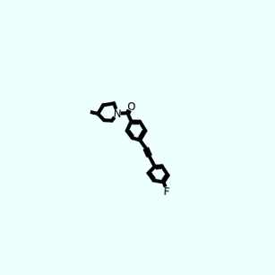 CC1CCN(C(=O)c2ccc(C#Cc3ccc(F)cc3)cc2)CC1